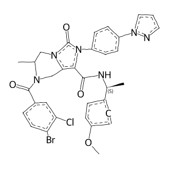 COc1ccc([C@H](C)NC(=O)c2c3n(c(=O)n2-c2ccc(-n4cccn4)cc2)CC(C)N(C(=O)c2ccc(Br)c(Cl)c2)C3)cc1